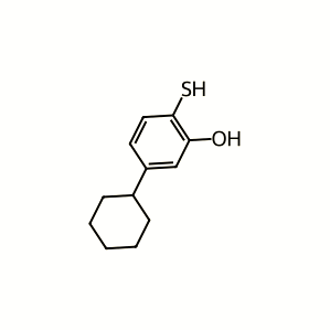 Oc1cc(C2CCCCC2)ccc1S